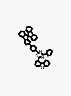 c1ccc(-c2nc(-c3ccc(-c4ccc5c(c4)C4(c6ccccc6-c6ccccc64)c4ccccc4-5)cc3)nc(-c3cccc4oc5ccccc5c34)n2)cc1